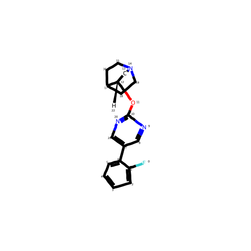 Fc1ccccc1-c1cnc(O[C@H]2CN3CCC2CC3)nc1